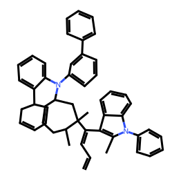 C=C/C=C(\c1c(C)n(-c2ccccc2)c2ccccc12)C1(C)CC(N(c2cccc(-c3ccccc3)c2)c2ccccc2C2C=CC=CC2)CCCC1C